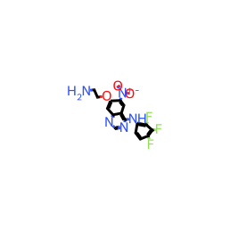 NCCOc1cc2ncnc(Nc3ccc(F)c(F)c3F)c2cc1[N+](=O)[O-]